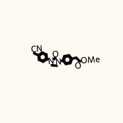 COC(=O)Cc1ccc(N2CCN(c3ccc(CC#N)cc3)C2=O)cc1